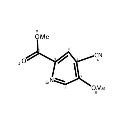 COC(=O)c1cc(C#N)c(OC)cn1